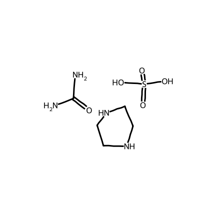 C1CNCCN1.NC(N)=O.O=S(=O)(O)O